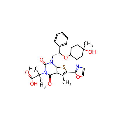 Cc1c(-c2ncco2)sc2c1c(=O)n(C(C)(C)C(=O)O)c(=O)n2C[C@@H](OC1CCC(C)(O)CC1)c1ccccc1